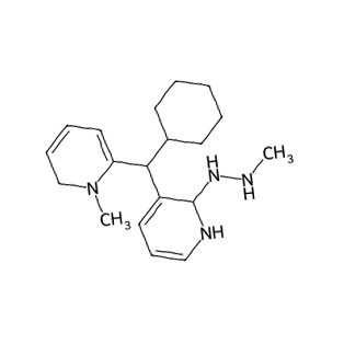 CNNC1NC=CC=C1C(C1=CC=CCN1C)C1CCCCC1